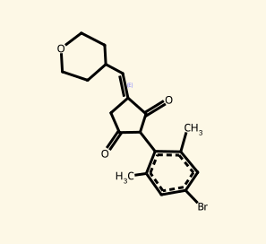 Cc1cc(Br)cc(C)c1C1C(=O)C/C(=C\C2CCOCC2)C1=O